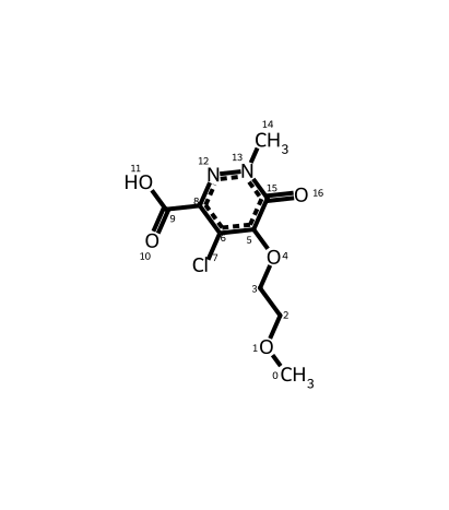 COCCOc1c(Cl)c(C(=O)O)nn(C)c1=O